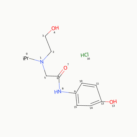 CC(C)N(CCO)CC(=O)Nc1ccc(O)cc1.Cl